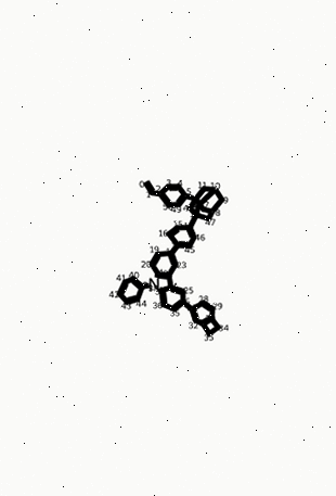 C=Cc1ccc(C23CC4CC(C2)CC(c2ccc(-c5ccc6c(c5)c5cc(-c7ccc8c(c7)CC8)ccc5n6-c5ccccc5)cc2)(C4)C3)cc1